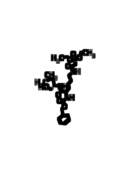 CCOP(=O)(CC(=O)NCCCCC(NC(=O)OCc1ccccc1)C(=O)N[C@H](CO)CC(C)C)OCC